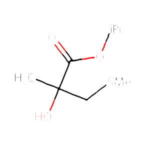 CSCC(C)(O)C(=O)OC(C)C